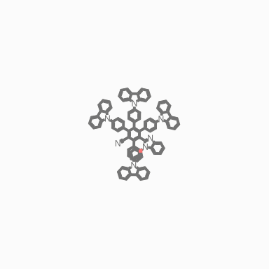 N#Cc1c(-c2ccc(-n3c4ccccc4c4ccccc43)cc2)c(-c2ccc(-n3c4ccccc4c4ccccc43)cc2)c(-c2ccc(-n3c4ccccc4c4ccccc43)cc2)c(-c2nc3ccccc3n2-c2ccccc2)c1-c1ccc(-n2c3ccccc3c3ccccc32)cc1